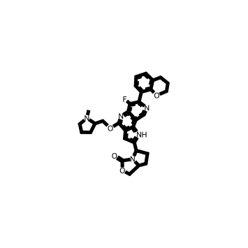 CN1CCCC1COc1nc2c(F)c(-c3cccc4c3OCCC4)ncc2c2[nH]c(C3CCC4COC(=O)N43)cc12